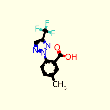 Cc1ccc(-n2ncc(C(F)(F)F)n2)c(C(=O)O)c1